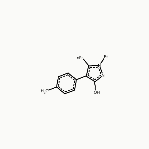 CCCc1c(-c2ccc(C)cc2)c(O)nn1CC